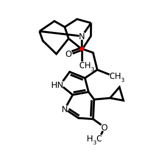 COc1cnc2[nH]cc(C(C)CC(=O)N3C4CCC5C(C)CC3CC5C4)c2c1C1CC1